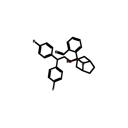 O=Cc1ccccc1C1(O)CC2CCC(C1)N2CCCC(c1ccc(F)cc1)c1ccc(F)cc1